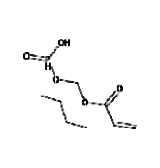 C=CC(=O)OCO[PH](=O)O.CCCC